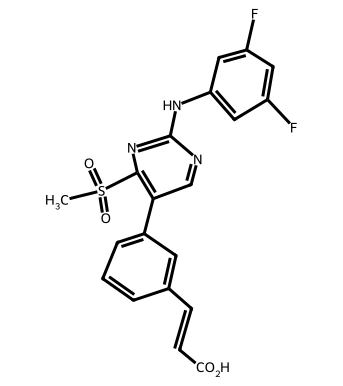 CS(=O)(=O)c1nc(Nc2cc(F)cc(F)c2)ncc1-c1cccc(/C=C/C(=O)O)c1